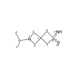 CC(C)N1CC2(C1)CS(=N)(=O)C2